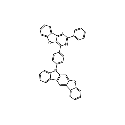 c1ccc(-c2nc(-c3ccc(-n4c5ccccc5c5cc6c(cc54)sc4ccccc46)cc3)c3oc4ccccc4c3n2)cc1